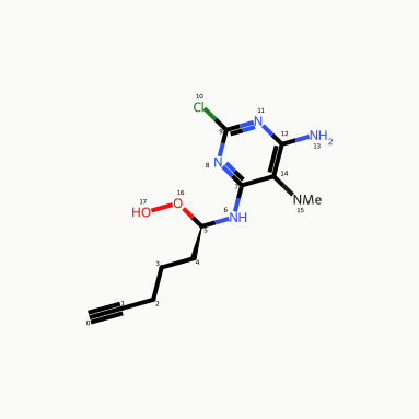 C#CCCC[C@H](Nc1nc(Cl)nc(N)c1NC)OO